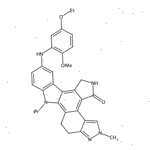 CCOc1ccc(OC)c(Nc2ccc3c(c2)c2c4c(c5c(c2n3C(C)C)CCc2nn(C)cc2-5)C(=O)NC4)c1